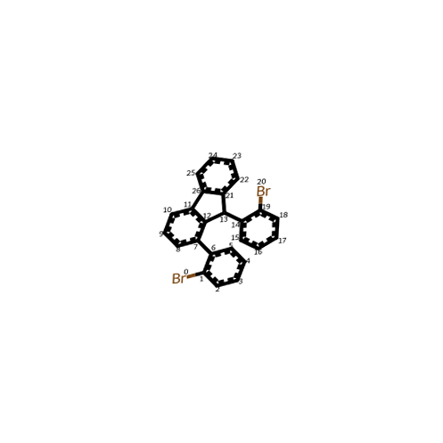 Brc1ccccc1-c1cccc2c1C(c1ccccc1Br)c1ccccc1-2